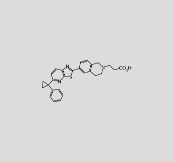 O=C(O)CCN1CCc2cc(-c3nc4ccc(C5(c6ccccc6)CC5)nc4s3)ccc2C1